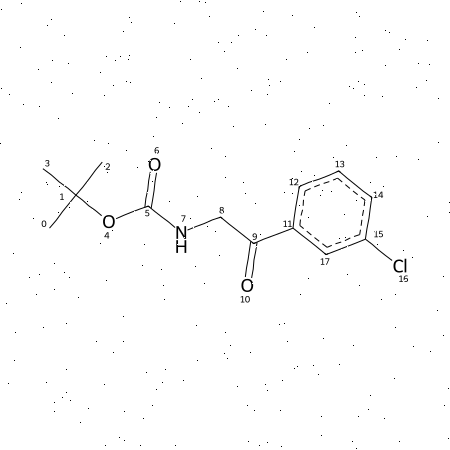 CC(C)(C)OC(=O)NCC(=O)c1cccc(Cl)c1